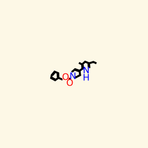 CCC1=CNC(C2=CCN(C(=O)OCc3ccccc3)CC2)=C(C)C1